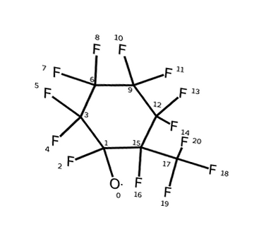 [O]C1(F)C(F)(F)C(F)(F)C(F)(F)C(F)(F)C1(F)C(F)(F)F